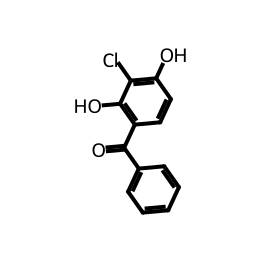 O=C(c1ccccc1)c1ccc(O)c(Cl)c1O